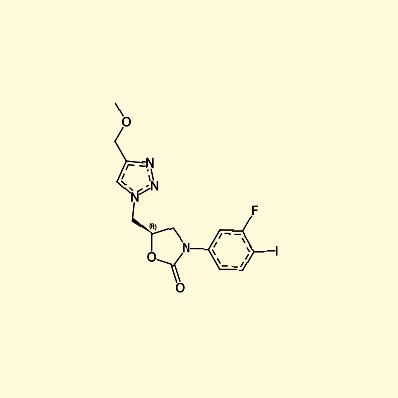 COCc1cn(C[C@H]2CN(c3ccc(I)c(F)c3)C(=O)O2)nn1